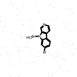 Brc1ccc2c3ccncc3n(Br)c2c1.Cl